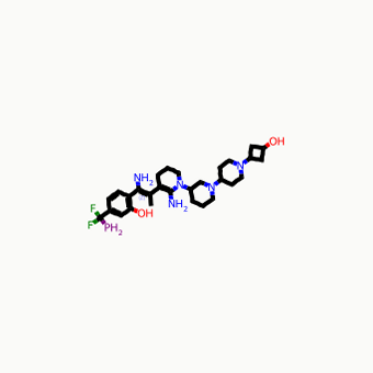 C/C(C1=C(N)N(C2CCCN(C3CCN(C4CC(O)C4)CC3)C2)CCC1)=C(/N)c1ccc(C(F)(F)P)cc1O